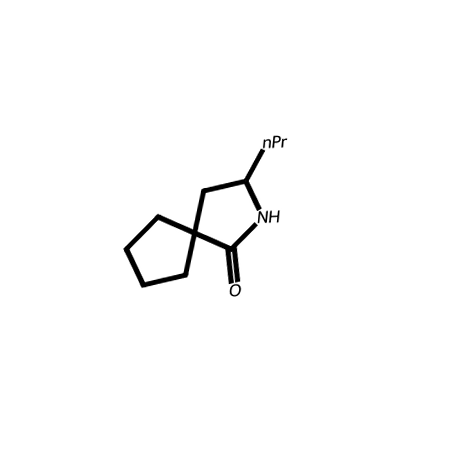 CCCC1CC2(CCCC2)C(=O)N1